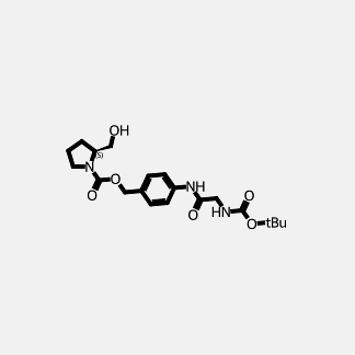 CC(C)(C)OC(=O)NCC(=O)Nc1ccc(COC(=O)N2CCC[C@H]2CO)cc1